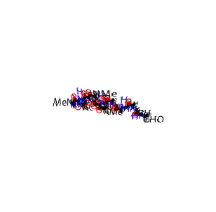 CN[C@@H](CO)C(=O)C(NCC(=O)C(NCC(=O)C(NCC(=O)C(C)NCC(=O)C(C)NCC(=O)C(C)NCC(=O)BN[C@@H](C)C=O)C(=O)[C@H](CO)NC)C(=O)[C@H](CO)NC)N[C@@H](CO)C(C)=O